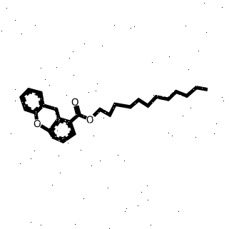 CCCCCCCCCCCCOC(=O)c1cccc2c1Cc1ccccc1O2